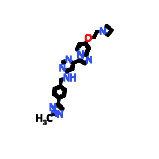 Cn1ncc(-c2ccc(CNc3cc(-c4cnc5cc(OCCN6CCC6)ccn45)ncn3)cc2)n1